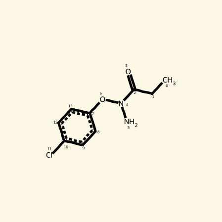 CCC(=O)N(N)Oc1ccc(Cl)cc1